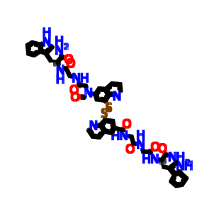 NC(=O)[C@H](Cc1c[nH]c2ccccc12)NC(=O)CNC(=O)CNC(=O)c1cc(SSc2cc(N(C=O)CC(=O)NCC(=O)N[C@@H](Cc3c[nH]c4ccccc34)C(N)=O)cc3cccnc23)c2ncccc2c1